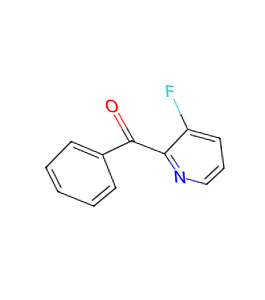 O=C(c1ccccc1)c1ncccc1F